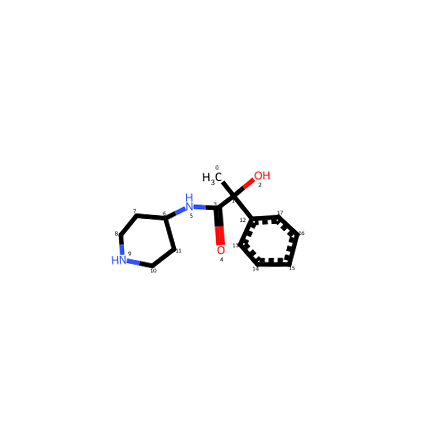 CC(O)(C(=O)NC1CCNCC1)c1ccccc1